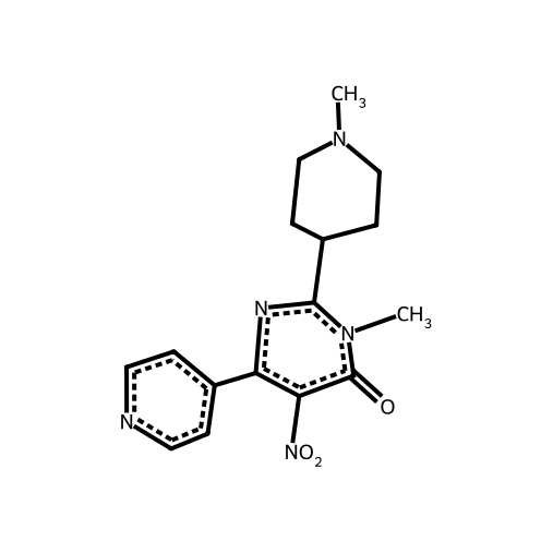 CN1CCC(c2nc(-c3ccncc3)c([N+](=O)[O-])c(=O)n2C)CC1